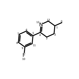 CC1CCC(c2cccc(F)c2)=NC1